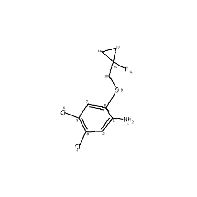 Nc1cc(Cl)c(Cl)cc1OCC1(F)CC1